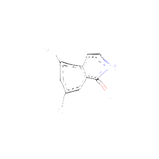 COc1cc([N+](=O)[O-])cc2c(=O)[nH]ccc12